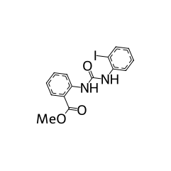 COC(=O)c1ccccc1NC(=O)Nc1ccccc1I